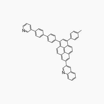 Cc1ccc(-c2cc(-c3ccc(-c4ccc(-c5cccnc5)cc4)cc3)c3ccc4cc(-c5cnc6ccccc6c5)cc5ccc2c3c54)cc1